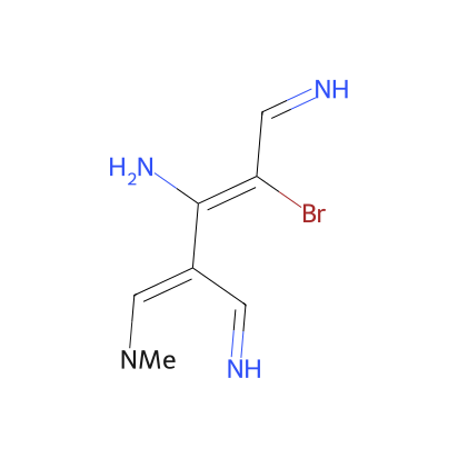 CN/C=C(C=N)/C(N)=C(\Br)C=N